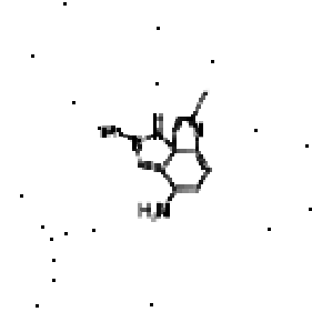 CC1=NC2=CC=C(N)C3=CN(C(C)C)NC23C=C1